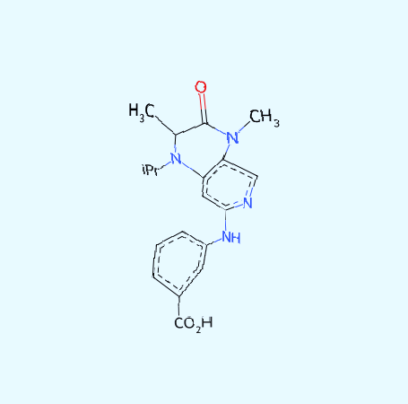 CC(C)N1c2cc(Nc3cccc(C(=O)O)c3)ncc2N(C)C(=O)C1C